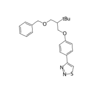 CC(C)(C)C(COCc1ccccc1)COc1ccc(-c2csnn2)cc1